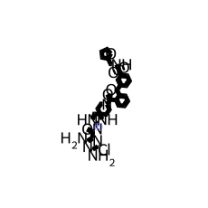 Nc1nc(N)c(C(=O)/N=C2\NCC3(CCN(C(=O)c4ccccc4C(=O)c4cccc(S(=O)(=O)NCC5CCCO5)c4)CC3)N2)nc1Cl